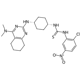 CN(C)c1nc(N[C@H]2CC[C@@H](NC(=S)Nc3cc([N+](=O)[O-])ccc3Cl)CC2)nc2c1CCCC2